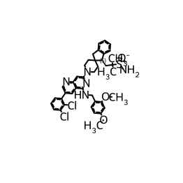 COc1ccc(CNc2nc(N3CCC4(CC3)Cc3ccccc3[C@H]4CC(C)(C)[S+](N)[O-])cc3ncc(-c4cccc(Cl)c4Cl)cc23)c(OC)c1